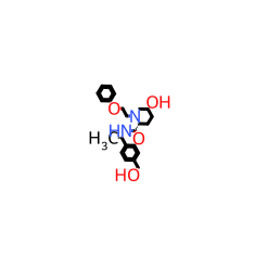 C[C@H](NC(=O)[C@H]1CC[C@H](O)CN1CCOc1ccccc1)c1ccc(CO)cc1